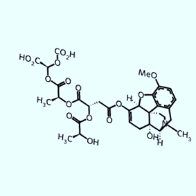 COc1ccc2c3c1O[C@@H]1C(OC(=O)C[C@H](OC(=O)[C@H](C)O)C(=O)O[C@@H](C)C(=O)O[C@H](OC(=O)O)C(=O)O)=CC[C@]4(O)[C@H](C2)N(C)CC[C@@]314